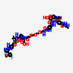 CCCNC(=O)Nc1cccc(S(=O)(=O)Nc2cccc(C(CC(=O)O)NC(=O)Nc3ccc(NC(=O)NCCOCCOCCOCCC(=O)NC(CC(=O)O)C(=O)N4CCCC4C(=O)NC(C(=O)N=S(C)(=O)Cc4ccnc(Nc5cc(-c6ccc(F)cc6OC)c(F)cn5)c4)C(C)C)cc3)c2)c1